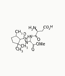 COC(=O)C(NC(=O)C1C(C)CCC1(C)C)NC(=O)[C@@H](N)CC(=O)O